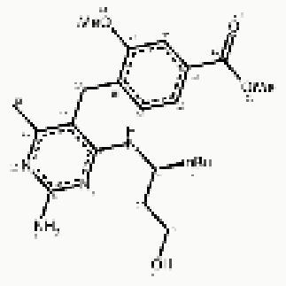 CCCC[C@@H](CCO)Nc1nc(N)nc(C)c1Cc1ccc(C(=O)OC)cc1OC